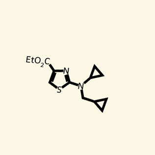 CCOC(=O)c1csc(N(CC2CC2)C2CC2)n1